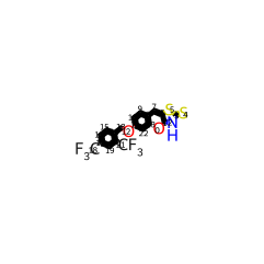 O=C1NC(=S)SC1=Cc1ccc(OCc2ccc(C(F)(F)F)cc2C(F)(F)F)cc1